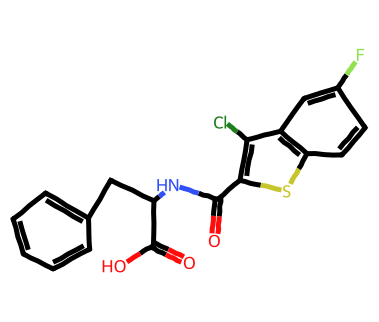 O=C(NC(Cc1ccccc1)C(=O)O)c1sc2ccc(F)cc2c1Cl